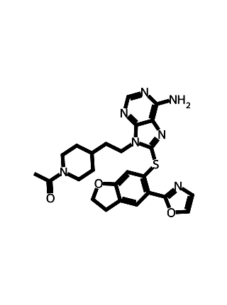 CC(=O)N1CCC(CCn2c(Sc3cc4c(cc3-c3ncco3)CCO4)nc3c(N)ncnc32)CC1